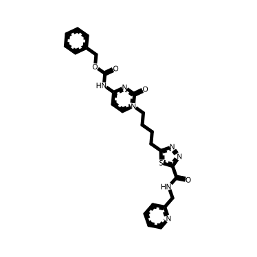 O=C(Nc1ccn(CCCCc2nnc(C(=O)NCc3ccccn3)s2)c(=O)n1)OCc1ccccc1